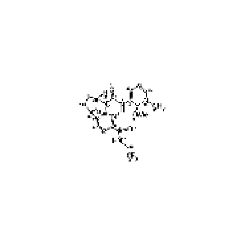 COC1C(NC(=O)N2c3nc(C(=O)NCC(F)(F)F)ccc3N3CC[C@H]2C3)=CC=CN1C